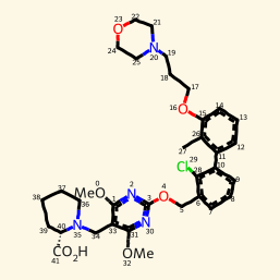 COc1nc(OCc2cccc(-c3cccc(OCCCN4CCOCC4)c3C)c2Cl)nc(OC)c1CN1CCCC[C@H]1C(=O)O